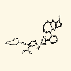 O=C(NS(=O)(=O)c1ccc(NCC2CCOCC2)c([N+](=O)[O-])c1)c1ccccc1N1CCCSc2nc3[nH]ccc3cc21